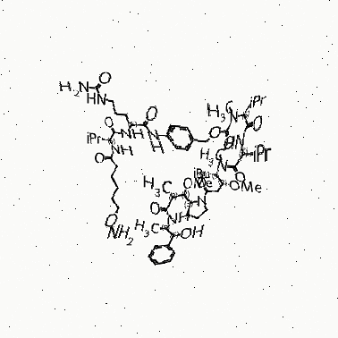 CC[C@H](C)[C@@H]([C@@H](CC(=O)N1CCC[C@H]1[C@H](OC)[C@@H](C)C(=O)N[C@H](C)[C@@H](O)c1ccccc1)OC)N(C)C(=O)[C@@H](NC(=O)[C@H](C(C)C)N(C)C(=O)OCc1ccc(NC(=O)[C@H](CCCNC(N)=O)NC(=O)[C@@H](NC(=O)CCCCCON)C(C)C)cc1)C(C)C